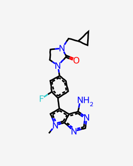 Cn1cc(-c2ccc(N3CCN(CC4CC4)C3=O)cc2F)c2c(N)ncnc21